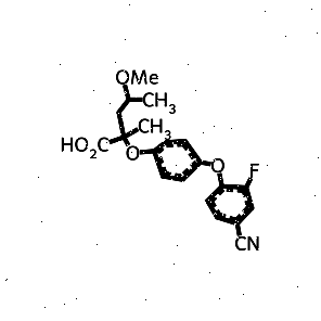 COC(C)CC(C)(Oc1ccc(Oc2ccc(C#N)cc2F)cc1)C(=O)O